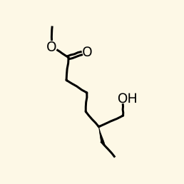 CC[C@H](CO)CCCC(=O)OC